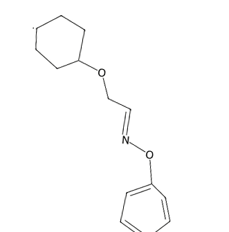 [CH]1CCC(OC/C=N/Oc2ccccc2)CC1